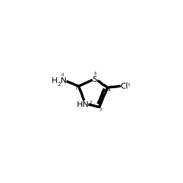 NC1NC=C(Cl)S1